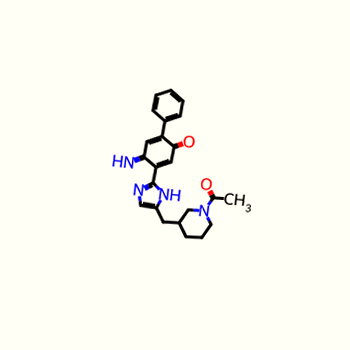 CC(=O)N1CCCC(Cc2cnc(C3=CC(=O)C(c4ccccc4)=CC3=N)[nH]2)C1